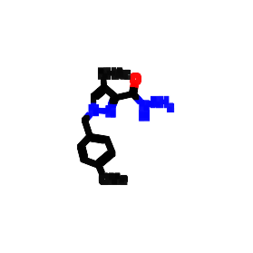 COc1ccc(Cn2cc(NC(C)=O)c(C(=O)NN)n2)cc1